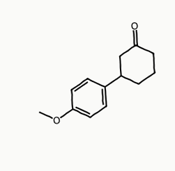 COc1ccc(C2CCCC(=O)C2)cc1